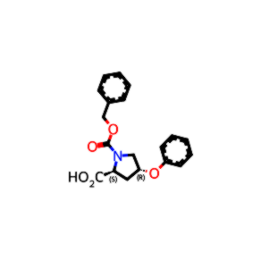 O=C(O)[C@@H]1C[C@@H](Oc2ccccc2)CN1C(=O)OCc1ccccc1